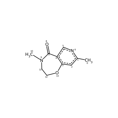 Cc1cc2c(cn1)C(=O)N(C)CCO2